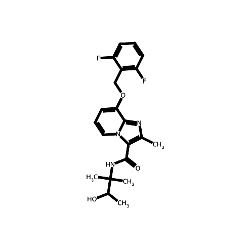 Cc1nc2c(OCc3c(F)cccc3F)cccn2c1C(=O)NC(C)(C)C(C)O